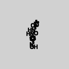 CC(C)(C)OC(=O)CNC(=O)Nc1ccc(C=NO)cc1